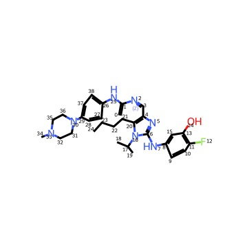 C=C(/N=C\c1nc(Nc2ccc(F)c(O)c2)n(C(C)C)c1CCCC)Nc1ccc(N2CCN(C)CC2)cc1